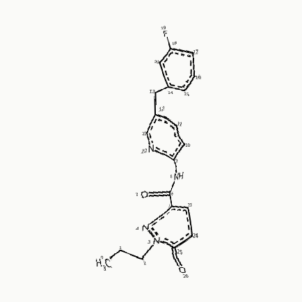 CCCn1nc(C(=O)Nc2ccc(Cc3cccc(F)c3)cn2)ccc1=O